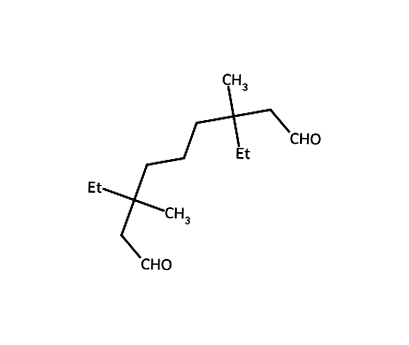 CCC(C)(CC=O)CCCC(C)(CC)CC=O